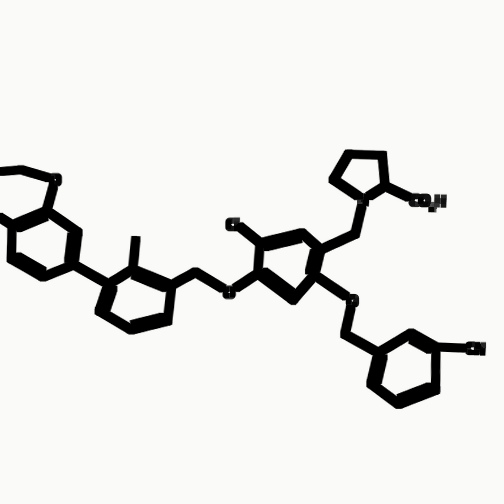 Cc1c(COc2cc(OCc3cccc(C#N)c3)c(CN3CCCC3C(=O)O)cc2Cl)cccc1-c1ccc2c(c1)OCCO2